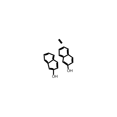 C=C.Oc1ccc2ccccc2c1.Oc1ccc2ccccc2c1